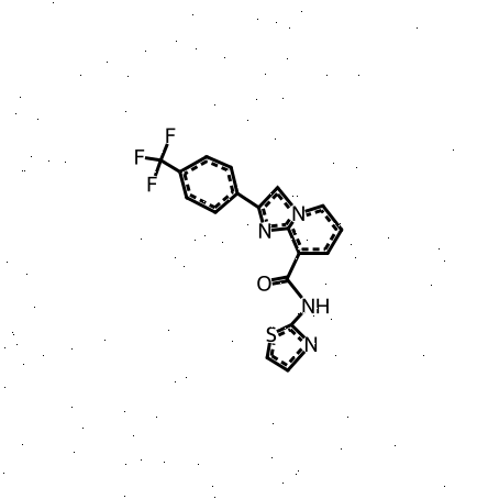 O=C(Nc1nccs1)c1cccn2cc(-c3ccc(C(F)(F)F)cc3)nc12